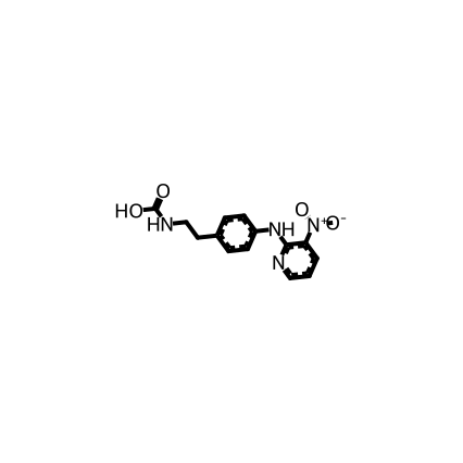 O=C(O)NCCc1ccc(Nc2ncccc2[N+](=O)[O-])cc1